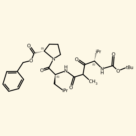 CC(C)C[C@H](NC(=O)C(C)C(=O)[C@@H](NC(=O)OC(C)(C)C)C(C)C)C(=O)N1CCC[C@H]1C(=O)OCc1ccccc1